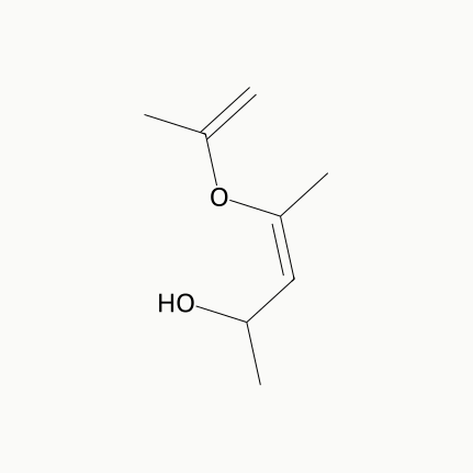 C=C(C)O/C(C)=C\C(C)O